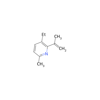 C=C(C)c1nc(C)ccc1CC